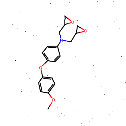 COc1ccc(Oc2ccc(N(CC3CO3)CC3CO3)cc2)cc1